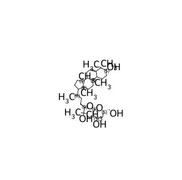 C[C@H](CC[C@@H](O[C@H]1C[C@@H](O)C[C@@H](CO)O1)C(C)(C)O)C1CC[C@@]2(C)C3CC=C4C(CC[C@H](O)C4(C)C)[C@]3(C)CC[C@]12C